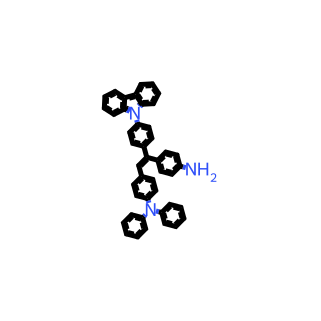 Nc1ccc(C(=Cc2ccc(N(c3ccccc3)c3ccccc3)cc2)c2ccc(-n3c4ccccc4c4ccccc43)cc2)cc1